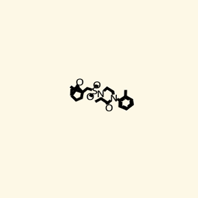 Cc1ccccc1N1CCN(S(=O)(=O)CC23CCC(CC2=O)C3(C)C)C(C)C1=O